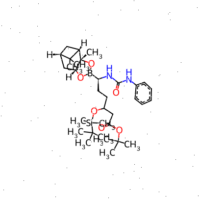 CC(C)(C)OC(=O)CC(CC[C@H](NC(=O)Nc1ccccc1)B1O[C@@H]2C[C@@H]3C[C@@H](C3(C)C)[C@]2(C)O1)O[Si](C)(C)C(C)(C)C